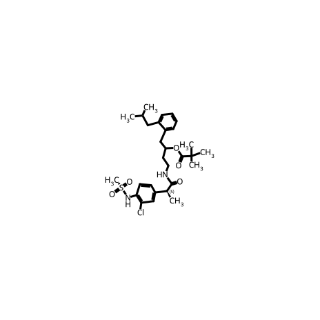 CC(C)Cc1ccccc1CC(CCNC(=O)[C@@H](C)c1ccc(NS(C)(=O)=O)c(Cl)c1)OC(=O)C(C)(C)C